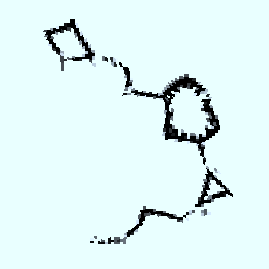 CC(=O)NCC[C@H]1C[C@@H]1c1cncc(OC[C@H]2CCN2)c1